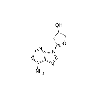 Nc1ncnc2c1ncn2[C@H]1CC(O)CO1